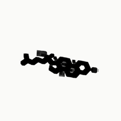 CC(C)CCC[C@](C)(O)[C@H]1CC[C@H]2[C@@H]3CC=C4C[C@@H]([O])CC[C@]4(C)[C@H]3CC[C@@]21C